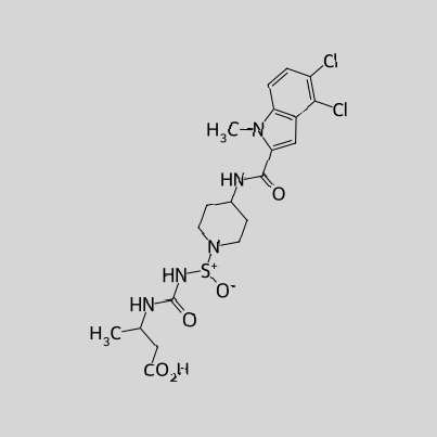 CC(CC(=O)O)NC(=O)N[S+]([O-])N1CCC(NC(=O)c2cc3c(Cl)c(Cl)ccc3n2C)CC1